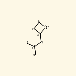 C[C](C)CC1CCO1